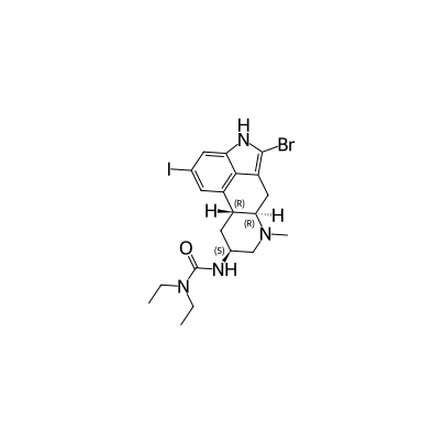 CCN(CC)C(=O)N[C@H]1C[C@@H]2c3cc(I)cc4[nH]c(Br)c(c34)C[C@H]2N(C)C1